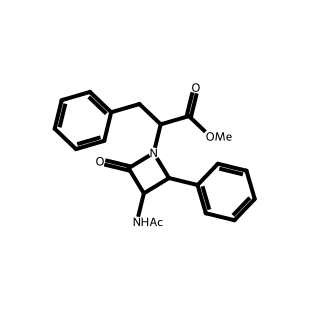 COC(=O)C(Cc1ccccc1)N1C(=O)C(NC(C)=O)C1c1ccccc1